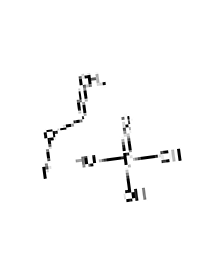 C=COF.O=P(O)(O)O